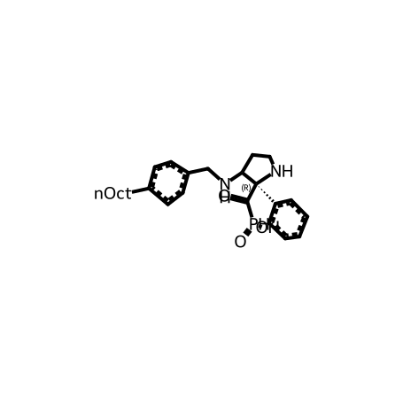 CCCCCCCCc1ccc(CNC2CCN[C@]2(C(=O)[PH](=O)O)c2ccccc2)cc1